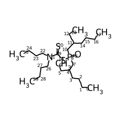 CCCCC(CC)CP(=O)(CC(CC)CCCC)SC(=S)N(CCCC)CCCC